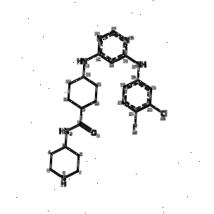 O=C(NC1CCNCC1)C1CCC(Nc2cc(Nc3ccc(F)c(Cl)c3)ncn2)CC1